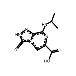 CC(C)Nc1nc(C(=O)O)cn2c(=O)[nH]nc12